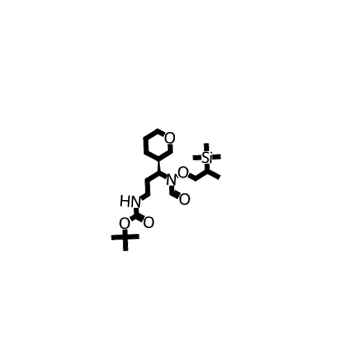 CC(CON(C=O)C(CCNC(=O)OC(C)(C)C)[C@H]1CCCOC1)[Si](C)(C)C